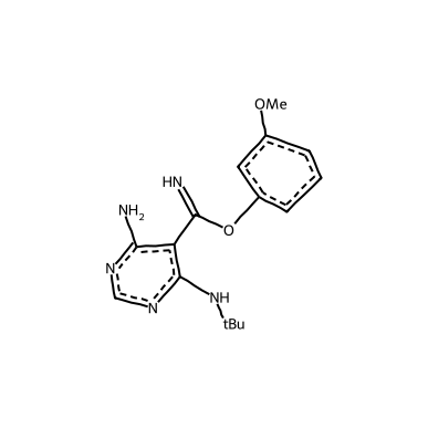 COc1cccc(OC(=N)c2c(N)ncnc2NC(C)(C)C)c1